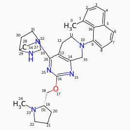 Cc1cccc2cccc(N3CCc4c(nc(OC[C@@H]5CCCN5C)nc4N4CC5CCC4CN5)C3)c12